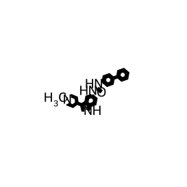 CN1CCC(c2c[nH]c3ccc(NC(=O)Nc4ccc(-c5ccccc5)cc4)cc23)CC1